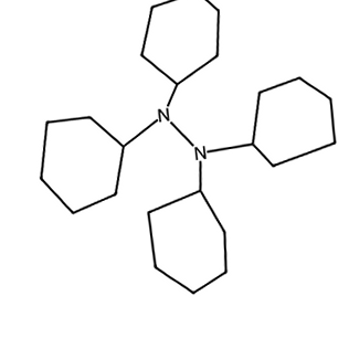 C1CCC(N(C2CCCCC2)N(C2CCCCC2)C2CCCCC2)CC1